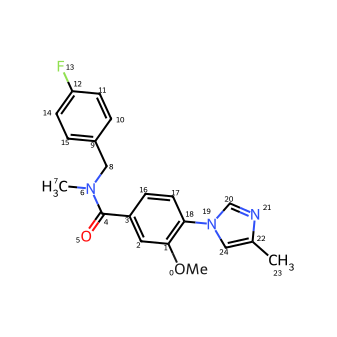 COc1cc(C(=O)N(C)Cc2ccc(F)cc2)ccc1-n1cnc(C)c1